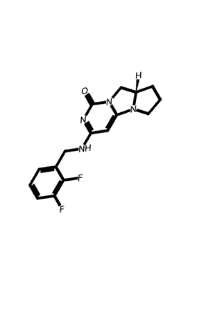 O=c1nc(NCc2cccc(F)c2F)cc2n1C[C@@H]1CCCN21